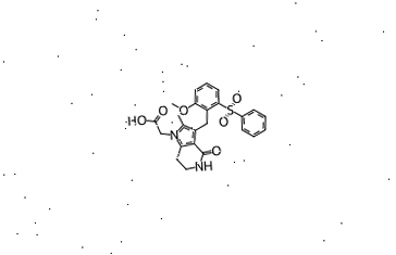 COc1cccc(S(=O)(=O)c2ccccc2)c1Cc1c2c(n(CC(=O)O)c1C)CCNC2=O